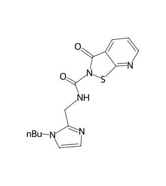 CCCCn1ccnc1CNC(=O)n1sc2ncccc2c1=O